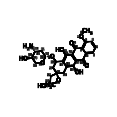 COc1cccc2c1C(=O)c1c(O)c3c(c(O)c1C2=O)CC(CCO)(OC)CC3O[C@H]1C[C@@H](N)[C@H](O)CO1